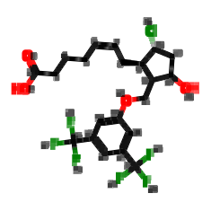 O=C(O)CCC/C=C\C[C@@H]1C(COc2cc(C(F)(F)F)cc(C(F)(F)F)c2)C(O)C[C@H]1Cl